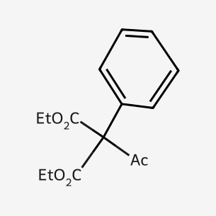 CCOC(=O)C(C(C)=O)(C(=O)OCC)c1ccccc1